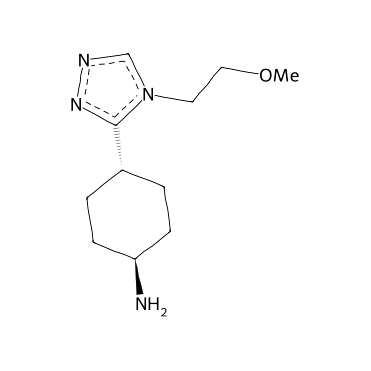 COCCn1cnnc1[C@H]1CC[C@H](N)CC1